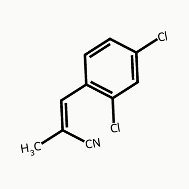 C/C(C#N)=C/c1ccc(Cl)cc1Cl